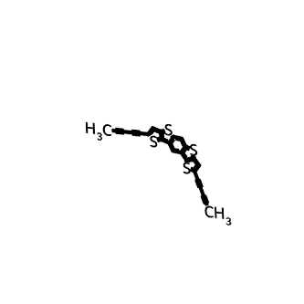 CC#CC#Cc1cc2sc3cc4sc5cc(C#CC#CC)sc5c4cc3c2s1